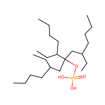 CCCCC(CC)CC(CC(CC)CCCC)(OP(=O)(O)O)C(CC)CCCC